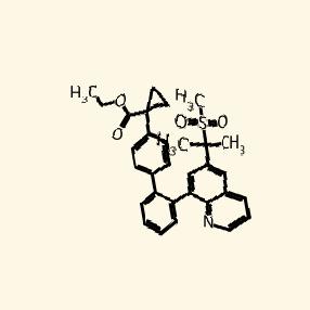 CCOC(=O)C1(c2ccc(-c3ccccc3-c3cc(C(C)(C)S(C)(=O)=O)cc4cccnc34)cc2)CC1